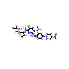 CC(C)Oc1cc(N2CCC(N(C)C)CC2)ccc1Nc1ncc(Cl)c(Nc2ccsc2S(=O)(=O)C(C)C)n1